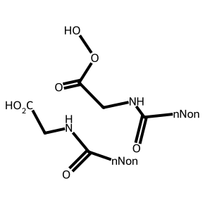 CCCCCCCCCC(=O)NCC(=O)O.CCCCCCCCCC(=O)NCC(=O)OO